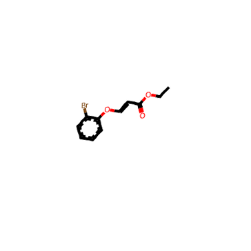 CCOC(=O)C=COc1ccccc1Br